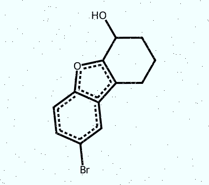 OC1CCCc2c1oc1ccc(Br)cc21